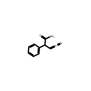 [N-]=[N+]=CC(C(N)=O)c1ccccc1